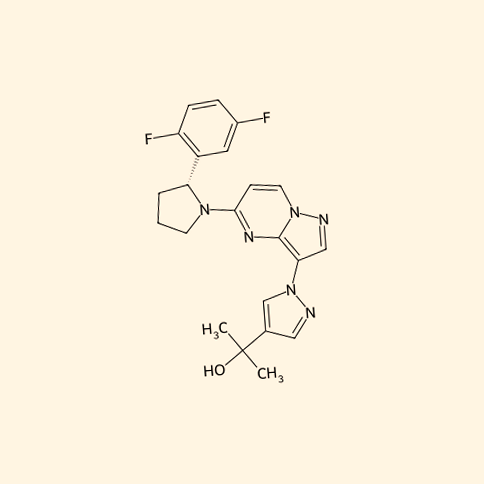 CC(C)(O)c1cnn(-c2cnn3ccc(N4CCC[C@@H]4c4cc(F)ccc4F)nc23)c1